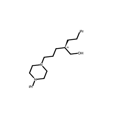 CC(C)CC[C@@H](CO)CCCN1CCN(C(C)C)CC1